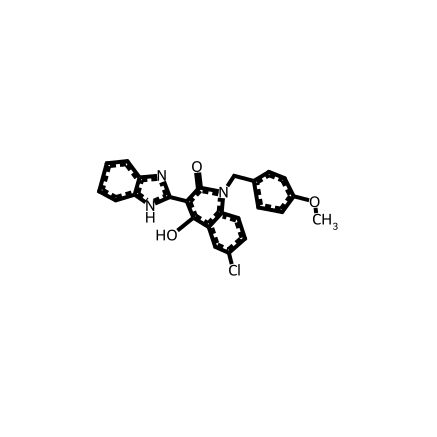 COc1ccc(Cn2c(=O)c(-c3nc4ccccc4[nH]3)c(O)c3cc(Cl)ccc32)cc1